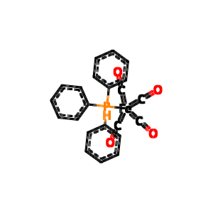 O=[C]=[Fe](=[C]=O)(=[C]=O)(=[C]=O)[PH](c1ccccc1)(c1ccccc1)c1ccccc1